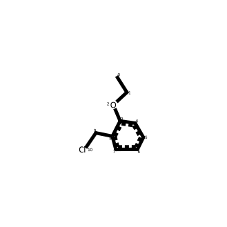 CCOc1ccccc1CCl